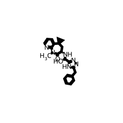 CN1C(=O)[C@H](NC(O)c2nnc(Cc3ccccc3)[nH]2)CC2(CC2)c2cccnc21